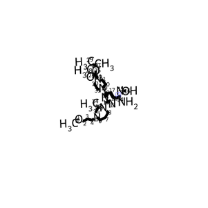 COCCCN1CCCN(c2nc(/C(N)=N/O)cc(N3CCN(C(=O)OC(C)(C)C)CC3)n2)[C@@H](C)C1